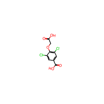 O=C(O)COc1c(Cl)cc(C(=O)O)cc1Cl